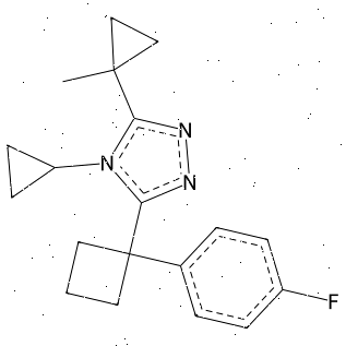 CC1(c2nnc(C3(c4ccc(F)cc4)CCC3)n2C2CC2)CC1